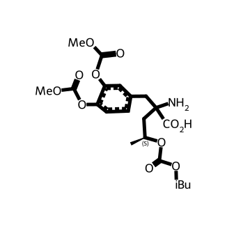 CCC(C)OC(=O)O[C@@H](C)CC(N)(Cc1ccc(OC(=O)OC)c(OC(=O)OC)c1)C(=O)O